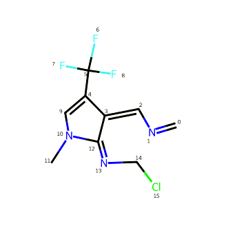 C=N/C=C1/C(C(F)(F)F)=CN(C)/C1=N/CCl